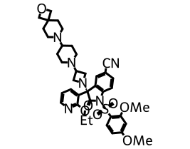 CCOc1ncccc1[C@]1(N2CC(N3CCC(N4CCC5(CC4)COC5)CC3)C2)C(=O)N(S(=O)(=O)c2ccc(OC)cc2OC)c2ccc(C#N)cc21